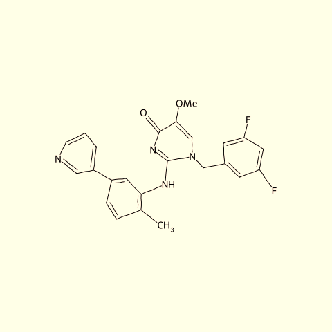 COc1cn(Cc2cc(F)cc(F)c2)c(Nc2cc(-c3cccnc3)ccc2C)nc1=O